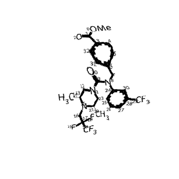 COC(=O)c1ccc(CN(C(=O)N2C[C@@H](C)N(CC(F)(F)C(F)(F)F)[C@@H](C)C2)c2cccc(C(F)(F)F)c2)cc1